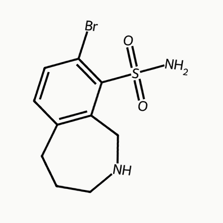 NS(=O)(=O)c1c(Br)ccc2c1CNCCC2